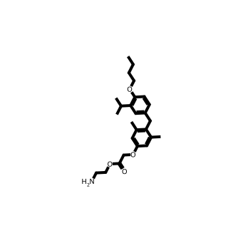 CCCCOc1ccc(Cc2c(C)cc(OCC(=O)OCCN)cc2C)cc1C(C)C